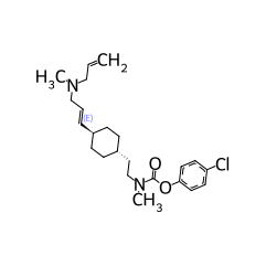 C=CCN(C)C/C=C/[C@H]1CC[C@H](CCN(C)C(=O)Oc2ccc(Cl)cc2)CC1